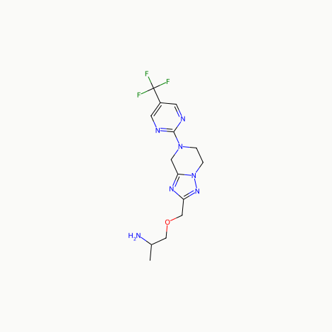 CC(N)COCc1nc2n(n1)CCN(c1ncc(C(F)(F)F)cn1)C2